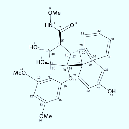 CONC(=O)[C@@H]1[C@@H](O)[C@@]2(O)c3c(OC)cc(OC)cc3O[C@@]2(C2(C)C=CC(O)=CC2)[C@H]1c1ccccc1